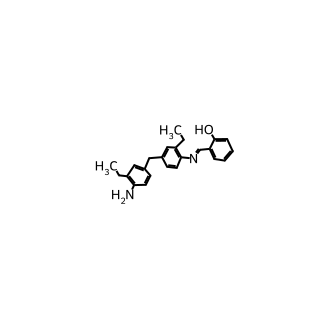 CCc1cc(Cc2ccc(/N=C/c3ccccc3O)c(CC)c2)ccc1N